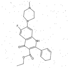 CCOC(=O)c1c(C2=CCCC=C2)[nH]c2cc(N3CCN(C)CC3)c(F)cc2c1=O